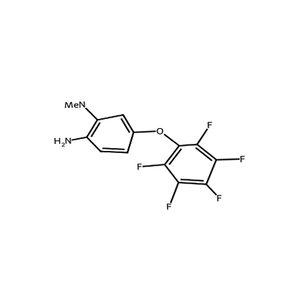 CNc1cc(Oc2c(F)c(F)c(F)c(F)c2F)ccc1N